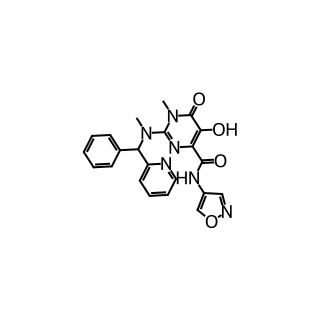 CN(c1nc(C(=O)Nc2cnoc2)c(O)c(=O)n1C)C(c1ccccc1)c1ccccn1